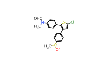 CN(C=O)c1ccc(-c2sc(Cl)cc2-c2ccc([S+](C)[O-])cc2)cc1